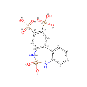 O=S1(=O)Nc2ccccc2-c2cc(S(=O)(=O)O)c(S(=O)(=O)O)cc2N1